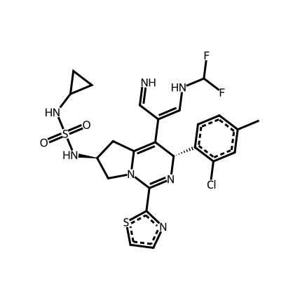 Cc1ccc([C@@H]2N=C(c3nccs3)N3C[C@@H](NS(=O)(=O)NC4CC4)CC3=C2/C(C=N)=C/NC(F)F)c(Cl)c1